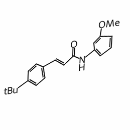 COc1cccc(NC(=O)/C=C/c2ccc(C(C)(C)C)cc2)c1